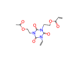 C=CC(=O)OCCn1c(=O)n(C=C)c(=O)n(CCOC(C)=O)c1=O